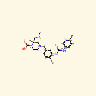 COC[C@]1(C)CN(Cc2ccc(F)c(NC(=O)Nc3ccc(C)nc3)c2)CCN1C(=O)O